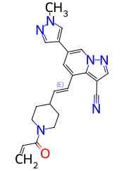 C=CC(=O)N1CCC(/C=C/c2cc(-c3cnn(C)c3)cn3ncc(C#N)c23)CC1